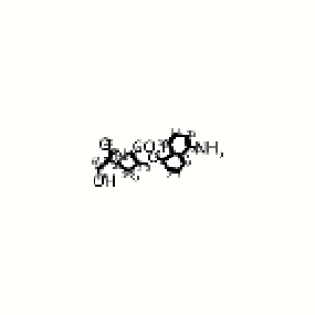 C[C@H]1C(COc2cccc3c(N)cccc23)=C(C(=O)O)N2C(=O)[C@H]([C@@H](C)O)C12